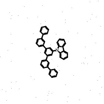 c1ccc(-c2cccc(-c3cc(-c4cccc(-c5ccccc5)c4)cc(-n4c5ccccc5c5ccccc54)c3)c2)cc1